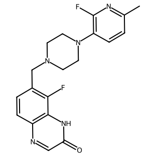 Cc1ccc(N2CCN(Cc3ccc4ncc(=O)[nH]c4c3F)CC2)c(F)n1